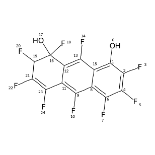 Oc1c(F)c(F)c(F)c2c(F)c3c(c(F)c12)C(O)(F)C(F)C(F)=C3F